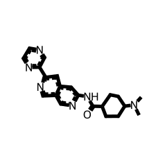 CN(C)C1CCC(C(=O)Nc2cc3cc(-c4cnccn4)ncc3cn2)CC1